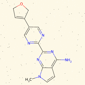 Cn1ccc2c(N)nc(-c3ncc(C4=CCOC4)cn3)nc21